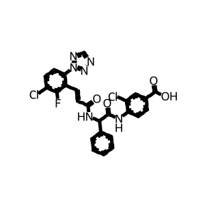 O=C(C=Cc1c(-n2ncnn2)ccc(Cl)c1F)NC(C(=O)Nc1ccc(C(=O)O)cc1Cl)c1ccccc1